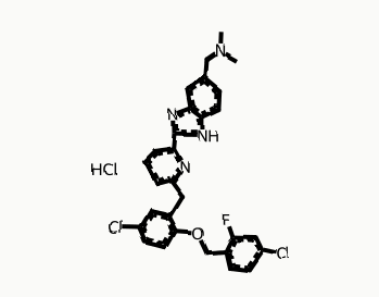 CN(C)Cc1ccc2[nH]c(-c3cccc(Cc4cc(Cl)ccc4OCc4ccc(Cl)cc4F)n3)nc2c1.Cl